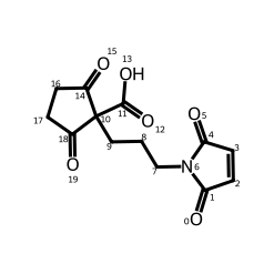 O=C1C=CC(=O)N1CCCC1(C(=O)O)C(=O)CCC1=O